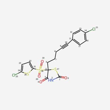 O=C1NC(=O)C(CCCC#Cc2ccc(Cl)cc2)(S(=O)(=O)c2ccc(Cl)s2)S1